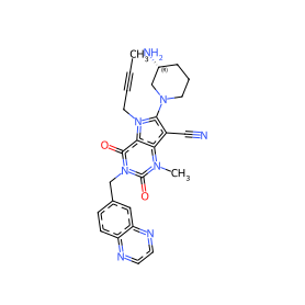 CC#CCn1c(N2CCC[C@@H](N)C2)c(C#N)c2c1c(=O)n(Cc1ccc3nccnc3c1)c(=O)n2C